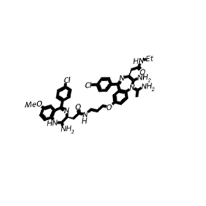 CCNC(=O)C[C@@H]1N=C(c2ccc(Cl)cc2)c2cc(OCCCNC(=O)C[C@@H]3N=C(c4ccc(Cl)cc4)c4cc(OC)ccc4NC3N)ccc2N(C(C)N)C1N